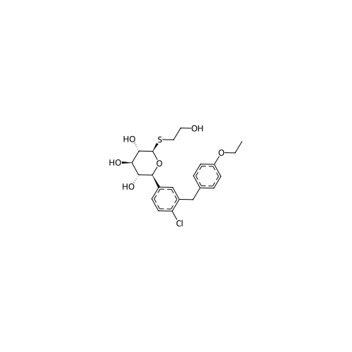 CCOc1ccc(Cc2cc([C@@H]3O[C@H](SCCO)[C@@H](O)[C@H](O)[C@H]3O)ccc2Cl)cc1